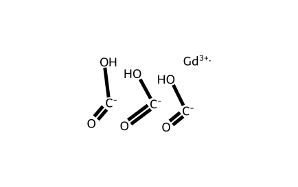 O=[C-]O.O=[C-]O.O=[C-]O.[Gd+3]